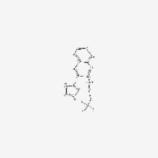 CC(C)(C)CC(Nc1cc2ccccc2cn1)c1nn[nH]n1